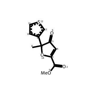 COC(=O)C1=CC(=O)C(C)(c2ccsc2)O1